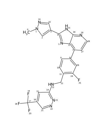 Cn1cc(-c2nc3c(-c4ccc(CNc5cc(C(F)(F)F)cnn5)c(F)c4)ccnc3[nH]2)cn1